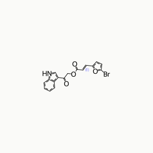 O=C(/C=C/c1ccc(Br)o1)OCC(=O)c1c[nH]c2ccccc12